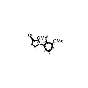 COc1cccc(N2CCC(=O)C2)c1OC